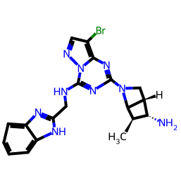 C[C@H]1C2[C@H](CN2c2nc(NCc3nc4ccccc4[nH]3)n3ncc(Br)c3n2)[C@@H]1N